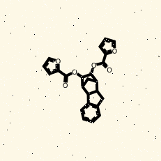 O=C(OC1C2CC(C1OC(=O)c1ccco1)C1c3ccccc3CC21)c1ccco1